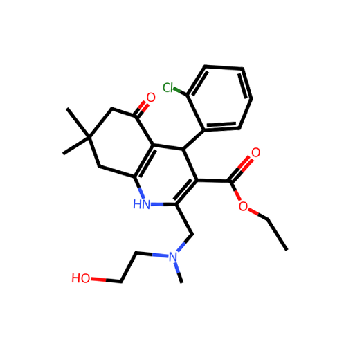 CCOC(=O)C1=C(CN(C)CCO)NC2=C(C(=O)CC(C)(C)C2)C1c1ccccc1Cl